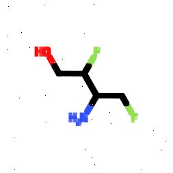 NC(CF)C(F)CO